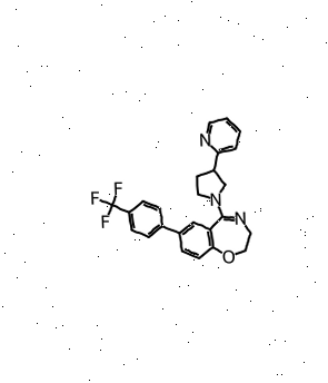 FC(F)(F)c1ccc(-c2ccc3c(c2)C(N2CCC(c4ccccn4)C2)=NCCO3)cc1